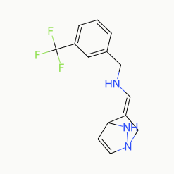 FC(F)(F)c1cccc(CN/C=C2/CN3C=CC2N3)c1